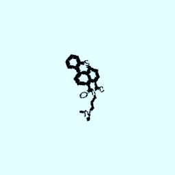 CN(C)CCCn1c(=O)c2ccc3sc4ccccc4c4ccc(c1=O)c2c34